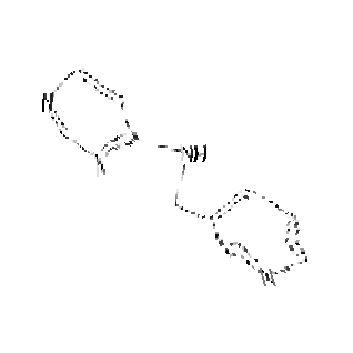 c1cncc(CNc2ccncn2)c1